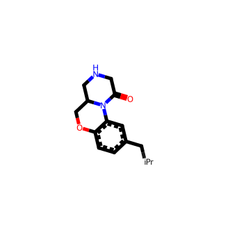 CC(C)Cc1ccc2c(c1)N1C(=O)CNCC1CO2